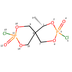 C[C@@H]1OP(=O)(Cl)OCC12COP(=O)(Cl)OC2